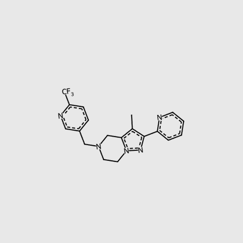 Cc1c(-c2ccccn2)nn2c1CN(Cc1ccc(C(F)(F)F)nc1)CC2